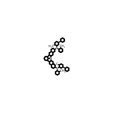 Cc1ccccc1N(c1ccc2cc3c4cccc5c6cc7ccc(N(c8ccccc8C)c8cc(-c9ccccc9)ccc8C)cc7cc6n(c3cc2c1)c45)c1cc(-c2ccccc2)ccc1C